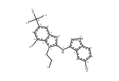 CCCn1c(Nc2c[nH]c3ccc(Cl)cc23)nc2cc(C(F)(F)F)cc(F)c21